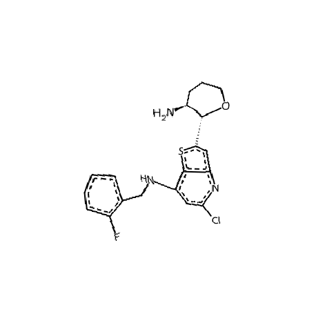 N[C@H]1CCCO[C@@H]1c1cc2nc(Cl)cc(NCc3ccccc3F)c2s1